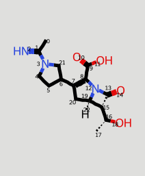 CC(=N)N1CCC(C2=C(C(=O)O)N3C(=O)[C@H]([C@@H](C)O)[C@H]3C2)C1